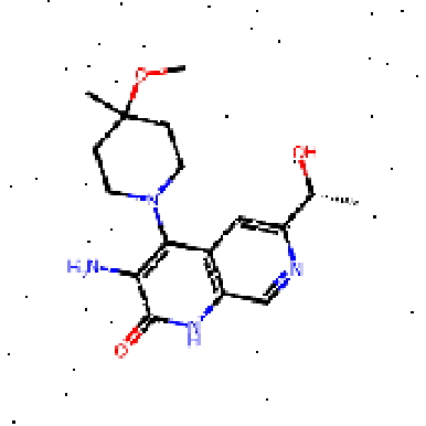 COC1(C)CCN(c2c(N)c(=O)[nH]c3cnc([C@@H](C)O)cc23)CC1